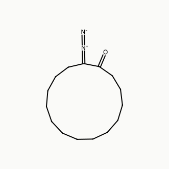 [N-]=[N+]=C1CCCCCCCCCCCCCC1=O